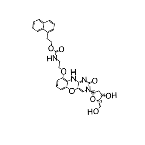 O=C(NCCOc1cccc2c1Nc1nc(=O)n([C@H]3C[C@@H](O)[C@@H](CO)O3)cc1O2)OCCc1cccc2ccccc12